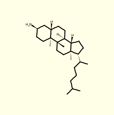 CC(C)CCCC(C)[C@H]1CC[C@H]2[C@@H]3CC[C@H]4C[C@H](N)CC[C@]4(C)[C@@]3(C)CC[C@]12C